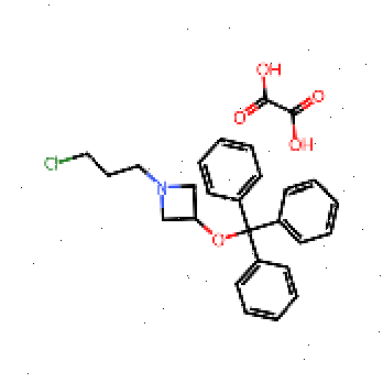 ClCCCN1CC(OC(c2ccccc2)(c2ccccc2)c2ccccc2)C1.O=C(O)C(=O)O